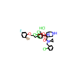 CC(C)(OC(=O)N1C2CNCC1C(C(=O)N(Cc1ccccc1Cl)C1CC1)=C(c1ccc(CCCOc3cc(F)ccc3Br)cc1)C2)C(Cl)(Cl)Cl.Cl